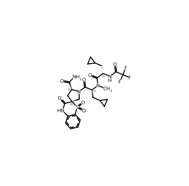 CN(C(=O)[C@H](CC1CC1)NC(=O)C(F)(F)F)[C@@H](CC1CC1)C(=O)N1C[C@]2(C[C@H]1C(N)=O)C(=O)Nc1ccccc1S2(=O)=O